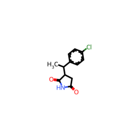 CC(c1ccc(Cl)cc1)C1CC(=O)NC1=O